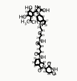 CC(C)c1cc(-c2nnc(O)n2-c2ccc3c(ccn3CCOCCNC(=O)CCCC(=O)Nc3cccc4c3CN(C3CCC(=O)NC3=O)C4=O)c2)c(O)cc1O